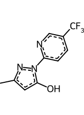 Cc1cc(O)n(-c2ccc(C(F)(F)F)cn2)n1